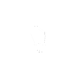 CCCC.O=P[O-].[Na+]